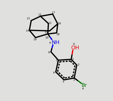 Oc1cc(Br)ccc1CNC12CC3CC(CC(C3)C1)C2